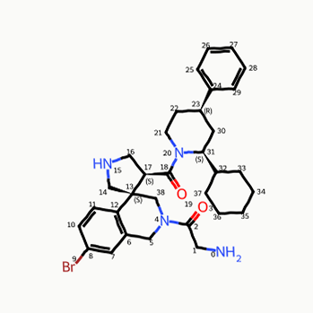 NCC(=O)N1Cc2cc(Br)ccc2[C@@]2(CNC[C@H]2C(=O)N2CC[C@@H](c3ccccc3)C[C@H]2C2CCCCC2)C1